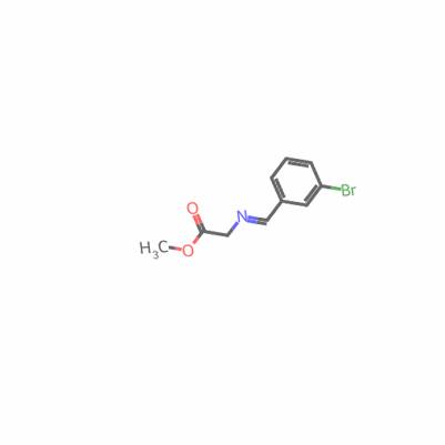 COC(=O)CN=Cc1cccc(Br)c1